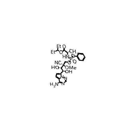 CCC(CC)OC(=O)[C@H](C)NP(=O)(OC[C@@](C#N)(OC)[C@@H](O)[C@@H](O)c1ccc2c(N)ncnn12)Oc1ccccc1